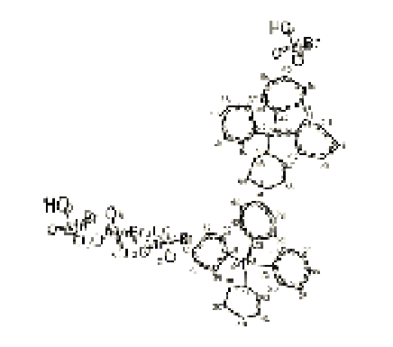 [O]=[Mn](=[O])([O-])[Br].[O]=[Mn](=[O])([O-])[Br].[O]=[Mn](=[O])([OH])[Br].[O]=[Mn](=[O])([OH])[Br].c1ccc([P+](c2ccccc2)(c2ccccc2)C2CCCCC2)cc1.c1ccc([P+](c2ccccc2)(c2ccccc2)C2CCCCC2)cc1